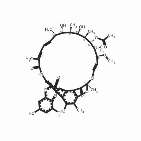 CO[C@H]1/C=C/O[C@@]2(C)Oc3c(C)c(O)c4c(=O)c(c5oc6cc(O)cc(O)c6nc-5c4c3C2=O)NC(=O)/C(C)=C\C=C\[C@H](C)[C@H](O)[C@@H](C)[C@@H](O)[C@@H](C)[C@H](OC(C)=O)[C@@H]1C